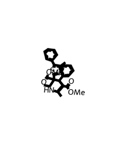 COC(=O)C1=C(C)NC(C)C(C(=O)OC)(c2nc(C)c(-c3ccccc3)s2)C1c1ccccc1